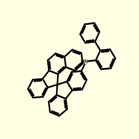 c1ccc(-c2ccccc2Nc2ccc3c(c2)C2(c4ccccc4-3)c3ccccc3-c3ccc4ccccc4c32)cc1